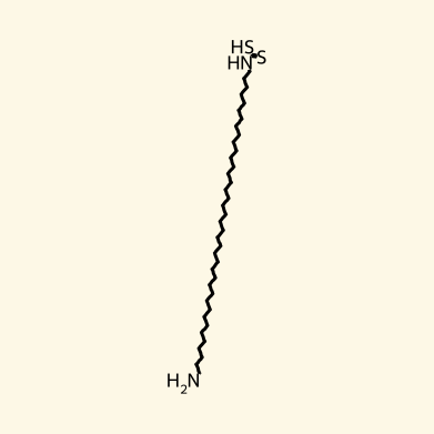 NCCCCCCCCCCCCCCCCCCCCCCCCCCCCCCCCCCCCCCCNC(=S)S